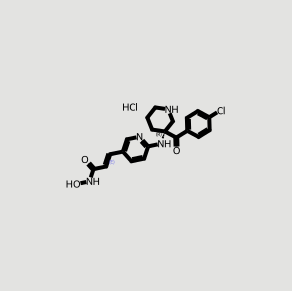 Cl.O=C(/C=C/c1ccc(N[C@]2(C(=O)c3ccc(Cl)cc3)CCCNC2)nc1)NO